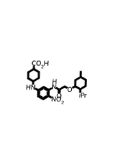 CC1CCC(C(C)C)C(OCC(=O)Nc2cc(NC3CCC(C(=O)O)CC3)ccc2[N+](=O)[O-])C1